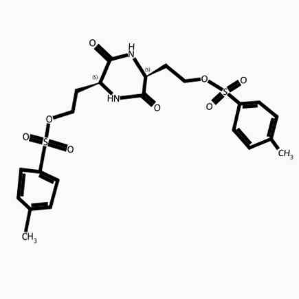 Cc1ccc(S(=O)(=O)OCC[C@@H]2NC(=O)[C@H](CCOS(=O)(=O)c3ccc(C)cc3)NC2=O)cc1